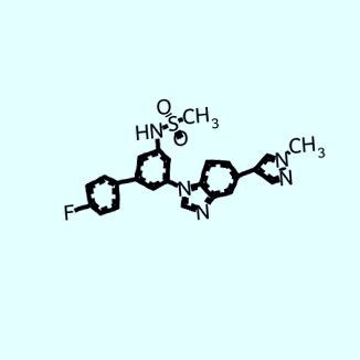 Cn1cc(-c2ccc3c(c2)ncn3-c2cc(NS(C)(=O)=O)cc(-c3ccc(F)cc3)c2)cn1